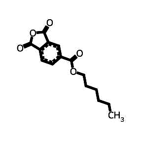 CCCCCCOC(=O)c1ccc2c(c1)C(=O)OC2=O